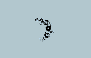 CC(C)(C)OC(=O)N1CCO[C@H](c2ccc(Nc3ncc(C(F)(F)F)cn3)cc2F)C1